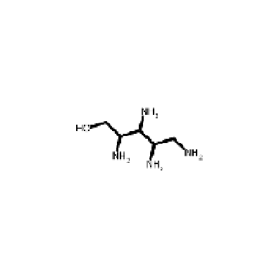 NCC(N)C(N)C(N)CO